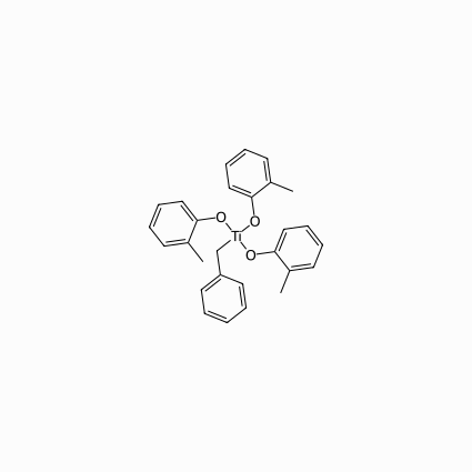 Cc1ccccc1[O][Ti]([CH2]c1ccccc1)([O]c1ccccc1C)[O]c1ccccc1C